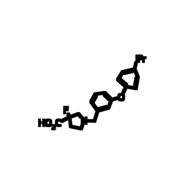 CC(C)c1ccc(Oc2cccc(CN3CCC(F)(C(=O)O)C3)c2)cc1